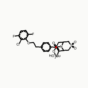 CC(C)(C)OC(=O)N1C2CC(c3ccc(CCOc4c(F)ccc(F)c4Cl)cc3)=C(C(=O)O)C1CS(=O)(=O)C2